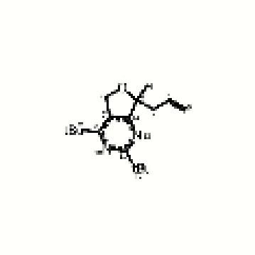 C=CCC1(C)OCc2c(C(C)(C)C)nc(C(C)(C)C)nc21